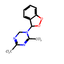 ClC(Cl)(Cl)C1=NCN(C2OOc3ccccc32)C(C(Cl)(Cl)Cl)=N1